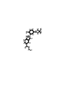 CCCC(C)c1cnc2nn(-c3cc(N4CC(F)(F)C4)ccc3F)cc2c1